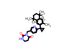 Cc1cc2c(cc1C1(c3ccc(CN4C(=O)CCNC4=O)cn3)CC1)C(C)(C)CCC2(C)C